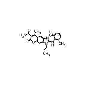 CCCn1c(Nc2c(C)cccc2C)nc2cc3c(C)c(C(N)=O)c(=O)oc3cc21